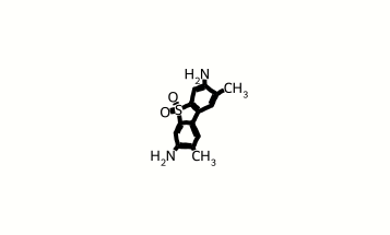 Cc1cc2c(cc1N)S(=O)(=O)c1cc(N)c(C)cc1-2